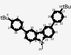 CC(C)(C)c1ccc(-c2ccc3c(c2)c2cc(-c4ccc(C(C)(C)C)cc4)ccc2n3I)cc1